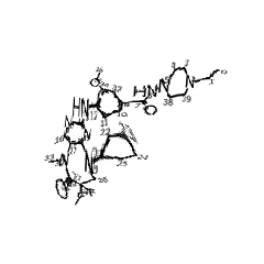 CCN1CCN(NC(=O)c2ccc(Nc3ncc4c(n3)N(C3CCCC3)CC(F)(F)C(=O)N4C)c(OC)c2)CC1